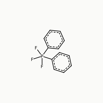 FP(F)(F)(c1ccccc1)c1ccccc1